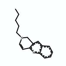 CCCCCN1C=Cc2nc3ccccc3cc2C1